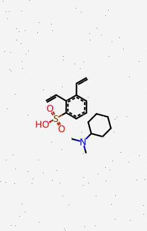 C=Cc1cccc(S(=O)(=O)O)c1C=C.CN(C)C1CCCCC1